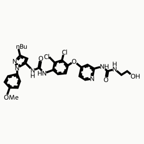 CCCCc1cc(NC(=O)Nc2ccc(Oc3ccnc(NC(=O)NCCO)c3)c(Cl)c2Cl)n(-c2ccc(OC)cc2)n1